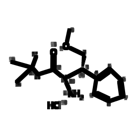 COC[C@H](c1ccccc1)N(N)C(=O)CC(C)(C)C.Cl